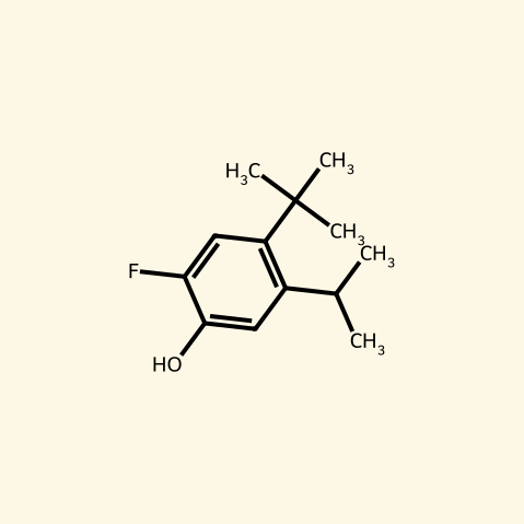 CC(C)c1cc(O)c(F)cc1C(C)(C)C